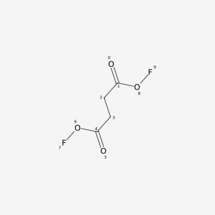 O=C(CCC(=O)OF)OF